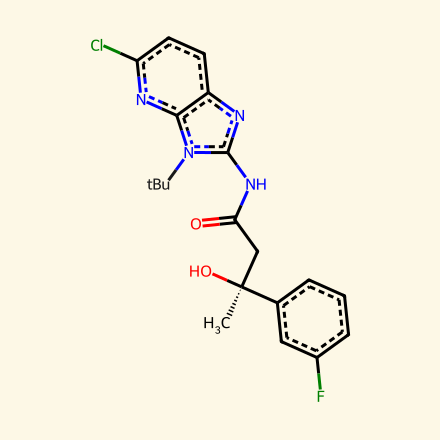 CC(C)(C)n1c(NC(=O)C[C@](C)(O)c2cccc(F)c2)nc2ccc(Cl)nc21